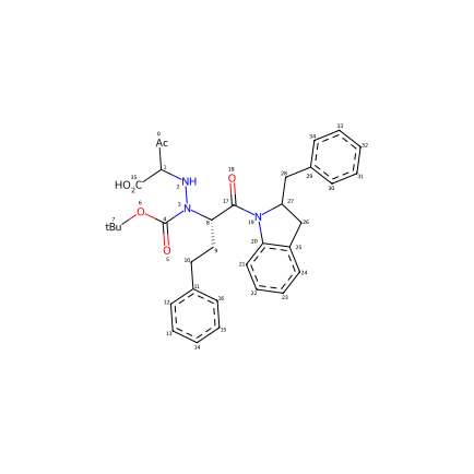 CC(=O)C(NN(C(=O)OC(C)(C)C)[C@@H](CCc1ccccc1)C(=O)N1c2ccccc2CC1Cc1ccccc1)C(=O)O